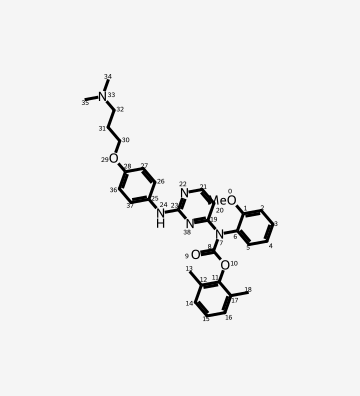 COc1ccccc1N(C(=O)Oc1c(C)cccc1C)c1ccnc(Nc2ccc(OCCCN(C)C)cc2)n1